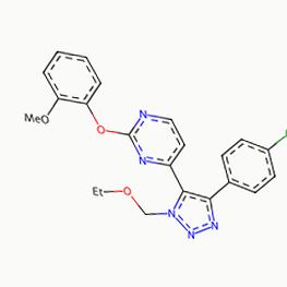 CCOCn1nnc(-c2ccc(F)cc2)c1-c1ccnc(Oc2ccccc2OC)n1